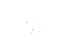 CC1(C)c2cc3c(cc2-c2cc4c5ccccc5n(-c5ccc(O)cc5)c4cc21)c1ccccc1n3-c1ccc(O)cc1